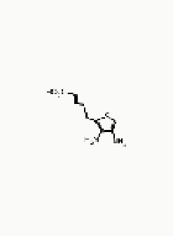 Nc1csc(CCC=CC(=O)O)c1N